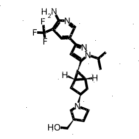 CC(C)n1nc(-c2cnc(N)c(C(F)(F)F)c2)cc1[C@H]1[C@@H]2C[C@@H](N3CC[C@@H](CO)C3)C[C@@H]21